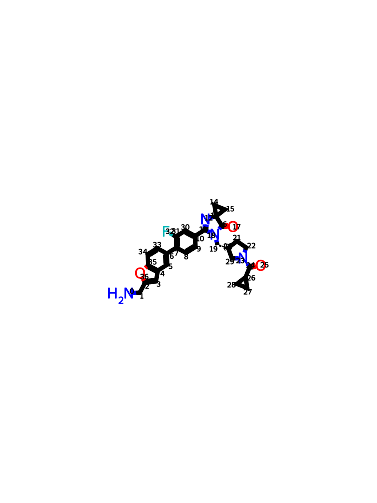 NCc1cc2cc(-c3ccc(C4=NC5(CC5)C(=O)N4C[C@@H]4CCN(C(=O)C5CC5)C4)cc3F)ccc2o1